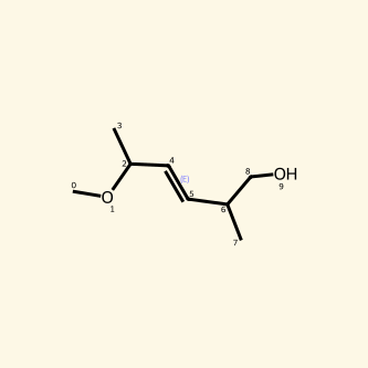 COC(C)/C=C/C(C)CO